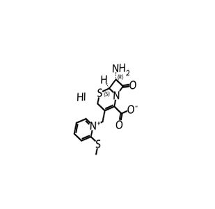 CSc1cccc[n+]1CC1=C(C(=O)[O-])N2C(=O)[C@@H](N)[C@@H]2SC1.I